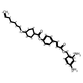 C=CCCCCCOC1CCC(C(=O)Oc2ccc(/C=C/C(=O)OCc3ccc(N)cc3N)cc2)CC1